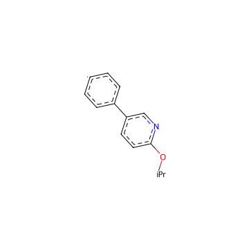 CC(C)Oc1ccc(-c2cc[c]cc2)cn1